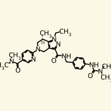 CCn1nc(C(=O)NCc2ccc(NC(=O)N(C)C)cc2)c2c1[C@@H](C)CN(c1ccc(C(=O)N(C)C)cn1)C2